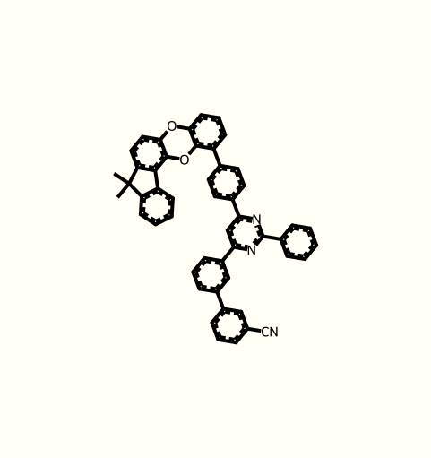 CC1(C)c2ccccc2-c2c1ccc1c2Oc2c(cccc2-c2ccc(-c3cc(-c4cccc(-c5cccc(C#N)c5)c4)nc(-c4ccccc4)n3)cc2)O1